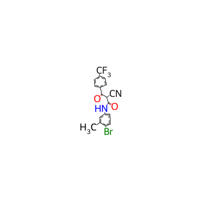 Cc1cc(NC(=O)C(C#N)C(=O)c2ccc(C(F)(F)F)cc2)ccc1Br